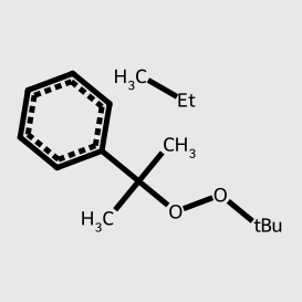 CC(C)(C)OOC(C)(C)c1ccccc1.CCC